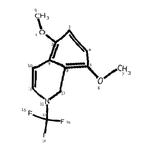 COc1ccc(OC)c2c1C=CN(C(F)(F)F)C2